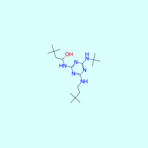 CC(C)(C)CCNc1nc(NC(O)CC(C)(C)C)nc(NC(C)(C)C)n1